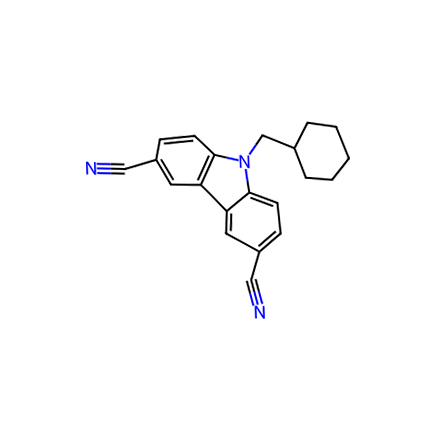 N#Cc1ccc2c(c1)c1cc(C#N)ccc1n2CC1CCCCC1